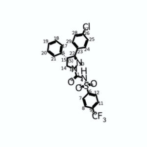 O=C(NS(=O)(=O)c1ccc(C(F)(F)F)cc1)N1C[C@H](c2ccccc2)C(c2ccc(Cl)cc2)=N1